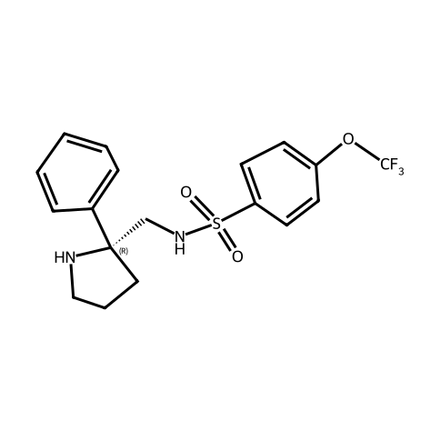 O=S(=O)(NC[C@]1(c2ccccc2)CCCN1)c1ccc(OC(F)(F)F)cc1